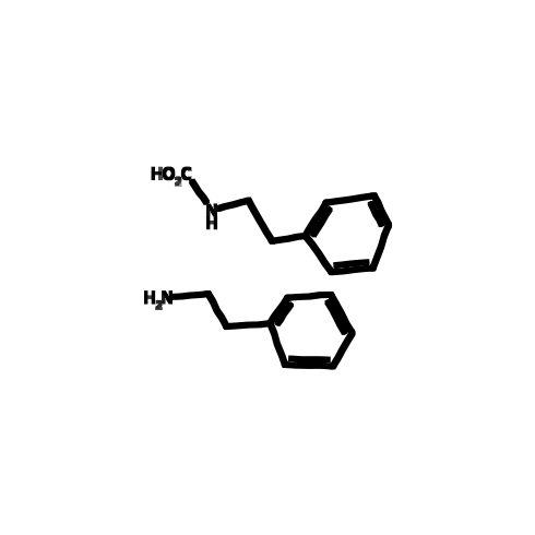 NCCc1ccccc1.O=C(O)NCCc1ccccc1